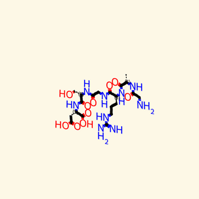 C[C@H](NC(=O)CN)C(=O)N[C@@H](CCCNC(=N)N)C(=O)NCC(=O)N[C@@H](CO)C(=O)N[C@@H](CC(=O)O)C(=O)O